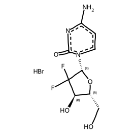 Br.Nc1ccn([C@@H]2O[C@H](CO)[C@@H](O)C2(F)F)c(=O)n1